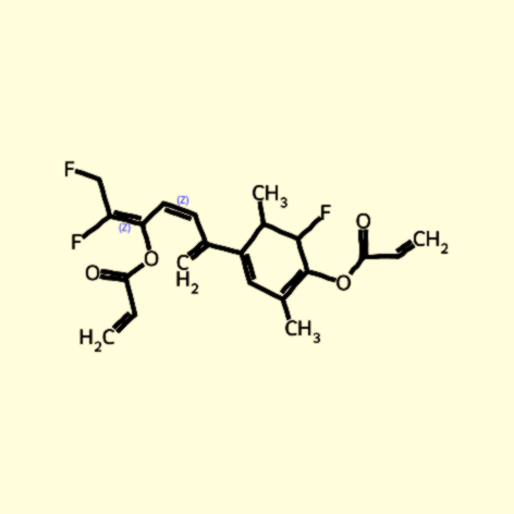 C=CC(=O)OC1=C(C)C=C(C(=C)/C=C\C(OC(=O)C=C)=C(\F)CF)C(C)C1F